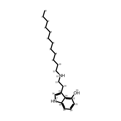 CCCCCCCCCCCCNCCc1c[nH]c2cccc(O)c12